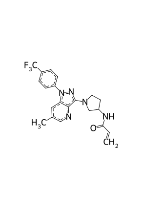 C=CC(=O)NC1CCN(c2nn(-c3ccc(C(F)(F)F)cc3)c3cc(C)cnc23)C1